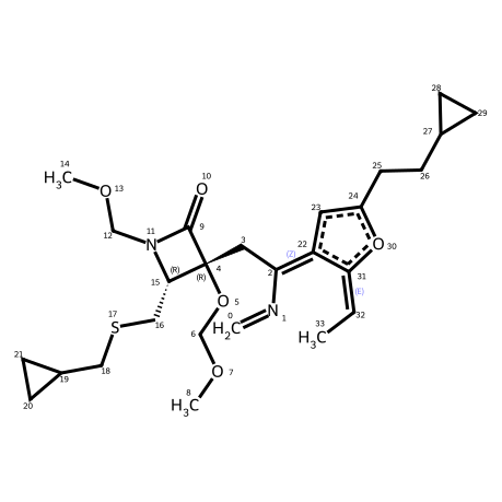 C=N/C(C[C@]1(OCOC)C(=O)N(COC)[C@H]1CSCC1CC1)=c1/cc(CCC2CC2)o/c1=C/C